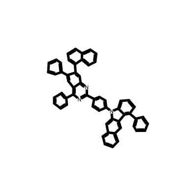 c1ccc(-c2cc3c(-c4ccccc4)nc(-c4ccc(-n5c6cc7ccccc7cc6c6c(-c7ccccc7)cccc65)cc4)nc3cc2-c2cccc3ccccc23)cc1